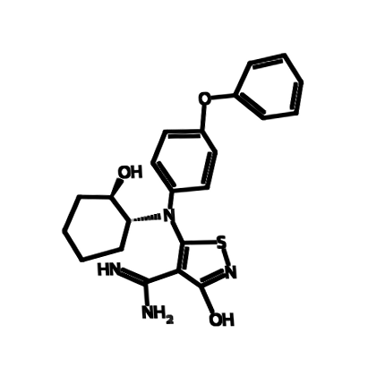 N=C(N)c1c(O)nsc1N(c1ccc(Oc2ccccc2)cc1)[C@@H]1CCCC[C@H]1O